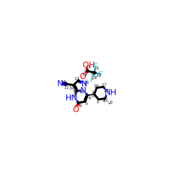 C[C@@H]1C[C@@H](c2cc(=O)[nH]c3c(C#N)cnn23)CCN1.O=C(O)C(F)(F)F